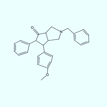 COc1ccc(C2C(c3ccccc3)C(=O)C3CN(Cc4ccccc4)CC32)cc1